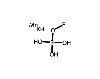 O[Si](O)(O)OF.[KH].[Mn]